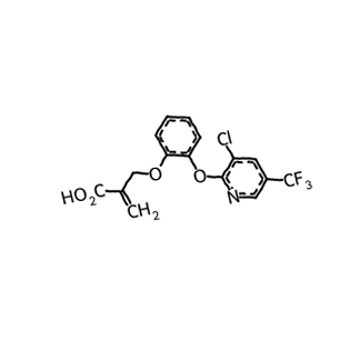 C=C(COc1ccccc1Oc1ncc(C(F)(F)F)cc1Cl)C(=O)O